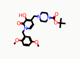 COc1ccc(OC)c(Cn2ccc(CN3CCN(C(=O)OC(C)(C)C)CC3)c(O)c2=O)c1